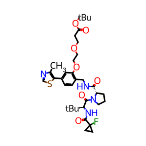 Cc1ncsc1-c1ccc(CNC(=O)[C@@H]2CCCN2C(=O)[C@@H](NC(=O)C2(F)CC2)C(C)(C)C)c(OCCOCCC(=O)OC(C)(C)C)c1